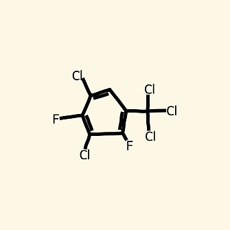 Fc1c(Cl)cc(C(Cl)(Cl)Cl)c(F)c1Cl